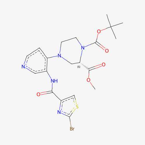 COC(=O)[C@@H]1CN(c2ccncc2NC(=O)c2csc(Br)n2)CCN1C(=O)OC(C)(C)C